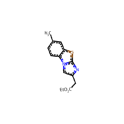 CCOC(=O)Cc1cn2c(n1)sc1cc(C)ccc12